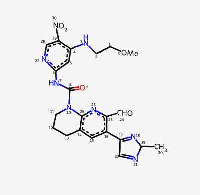 COCCNc1cc(NC(=O)N2CCCc3cc(C4=NC(C)N=C4)c(C=O)nc32)ncc1[N+](=O)[O-]